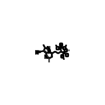 COP(=O)(OC)C(CCc1cc(C)nc2c(C#N)c(C)nn12)P(=O)(OC)OC